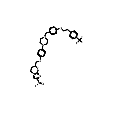 O=[N+]([O-])c1cn2c(n1)OC(COc1ccc(N3CCN(Cc4ccc(OCCc5ccc(C(F)(F)F)cc5)cc4)CC3)cc1)CC2